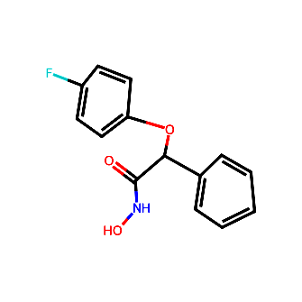 O=C(NO)C(Oc1ccc(F)cc1)c1ccccc1